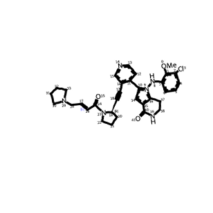 COc1c(Cl)cccc1Nn1c(-c2ccncc2C#C[C@H]2CCCN2C(=O)/C=C/CN2CCCC2)cc2c1CCNC2=O